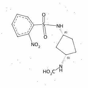 O=C(O)N[C@H]1CC[C@@H](NS(=O)(=O)c2ccccc2[N+](=O)[O-])C1